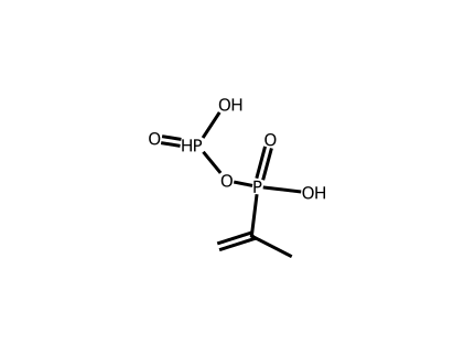 C=C(C)P(=O)(O)O[PH](=O)O